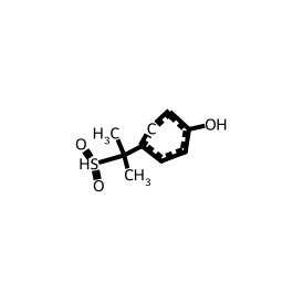 CC(C)(c1ccc(O)cc1)[SH](=O)=O